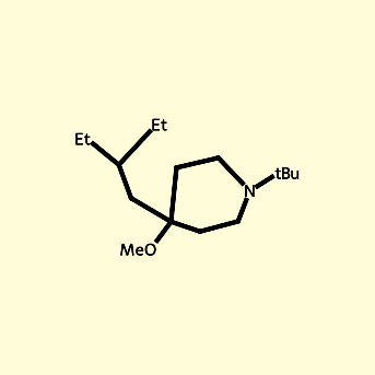 CCC(CC)CC1(OC)CCN(C(C)(C)C)CC1